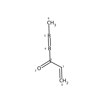 C=CC(=O)B=BC